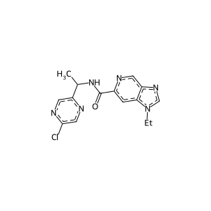 CCn1cnc2cnc(C(=O)NC(C)c3cnc(Cl)cn3)cc21